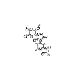 COc1cc(OC)c(NC(=O)N(S)c2ccnc(NC(C)=O)c2)cc1Cl